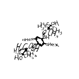 CCCCCCc1cc(BOC(C)(C)C(C)(C)O)c(CCCCCC)cc1BOC(C)(C)C(C)(C)O